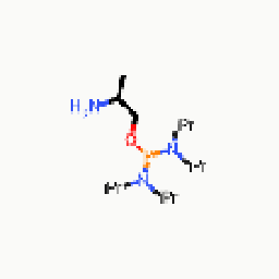 CC(N)COP(N(C(C)C)C(C)C)N(C(C)C)C(C)C